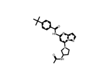 CC(=O)NC1CCN(c2cc(NC(=O)c3ccc(C(C)(C)C)cc3)nc3ccnn23)C1